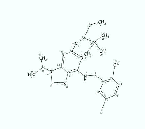 CCC(Nc1nc(NCc2cc(F)ccc2O)c2ncn(C(C)C)c2n1)C(C)(C)O